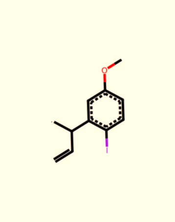 [CH2]C(C=C)c1cc(OC)ccc1I